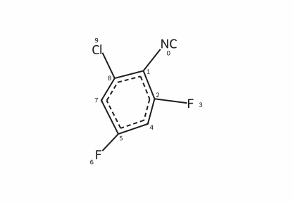 [C-]#[N+]c1c(F)cc(F)cc1Cl